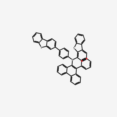 c1ccc(-c2c(N(c3ccc(-c4ccc5c(c4)sc4ccccc45)cc3)c3cccc4c3sc3ccccc34)c3ccccc3c3ccccc23)cc1